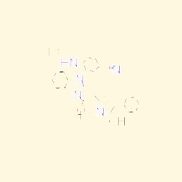 CCNc1ccc(C#N)cc1N=C1SC(=C2SC(c3ccccc3)=C(C)N2C)C(=O)N1Cc1ccccc1